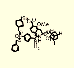 COc1c(CC(NC(=O)C(N)c2ccc(P(=O)(OCc3ccccc3)OCc3ccccc3)cc2)B2O[C@@H]3C[C@@H]4C[C@@H](C4(C)C)[C@]3(C)O2)cccc1C(=O)OC(C)(C)C